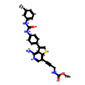 CC(C)(C)OC(=O)NCC#Cc1cnc(N)c2c(-c3ccc(NC(=O)Nc4cccc(C(F)(F)F)c4)cc3)csc12